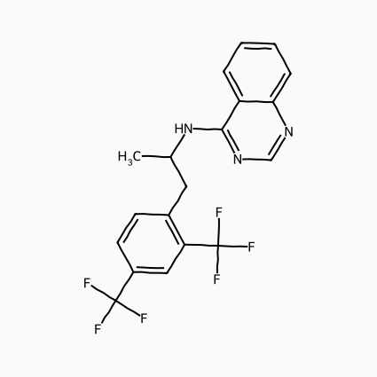 CC(Cc1ccc(C(F)(F)F)cc1C(F)(F)F)Nc1ncnc2ccccc12